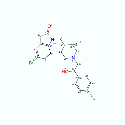 Cl.O=c1sc2cc(Br)ccc2n1CC1CCN(CC(O)c2ccc(F)cc2)CC1